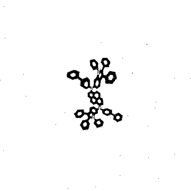 c1ccc(-c2ccc(N(c3ccc4c(-c5ccccc5)c(-c5ccccc5)n(-c5ccccc5)c4c3)c3ccc4ccc5c(N(c6ccc(-c7ccccc7)cc6)c6ccc7c(-c8ccccc8)c(-c8ccccc8)n(-c8ccccc8)c7c6)ccc6ccc3c4c65)cc2)cc1